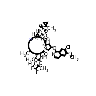 CC[C@@H]1C[C@H](C)CC/C=C\[C@@H]2C[C@@]2(C(=O)NS(=O)(=O)C2(C)CC2)NC(=O)[C@@H]2C[C@@H](Oc3nccc4cc(OC)c(Cl)cc34)CN2C(=O)[C@H]1NC(=O)OC(C)(C)C(F)F